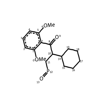 COc1cccc(OC)c1C(=O)C(CP=O)C1CCCCC1